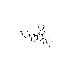 CC(C)NC(=O)c1cc2ccc(N3CCN(C)CC3)nc2n2c1nc1ccccc12